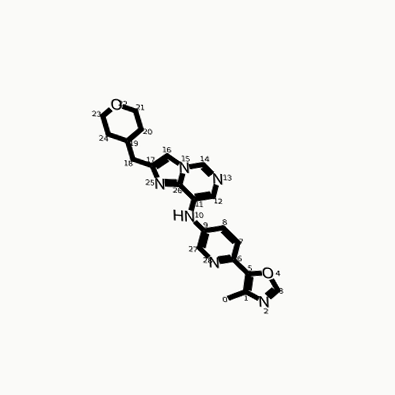 Cc1ncoc1-c1ccc(Nc2cncn3cc(CC4CCOCC4)nc23)cn1